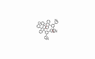 C1=CC2Oc3ccc(-c4c5ccccc5c(-c5cc(-c6cccnc6)cc(-c6cccnc6)c5)c5ccccc45)cc3C2C(c2c3ccccc3c(-c3cc(-c4cccnc4)cc(-c4cccnc4)c3)c3ccccc23)=C1